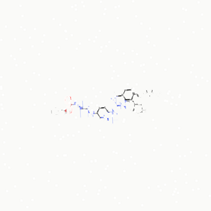 COc1ccc2cnc(Nc3ccc(NCCNC(=O)OC(C)(C)C)cn3)nc2c1C1CCCC1